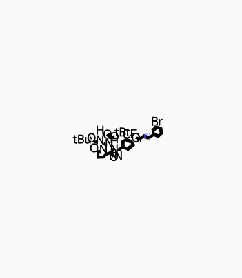 CC(C)(C)OC(=O)N=C(NC(=O)OC(C)(C)C)N1CCCC1C1NC(c2ccc(OC/C=C/c3cccc(Br)c3)c(C(F)(F)F)c2)=NO1